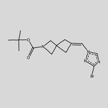 CC(C)(C)OC(=O)N1CC2(CC(=Cn3cnc(Br)n3)C2)C1